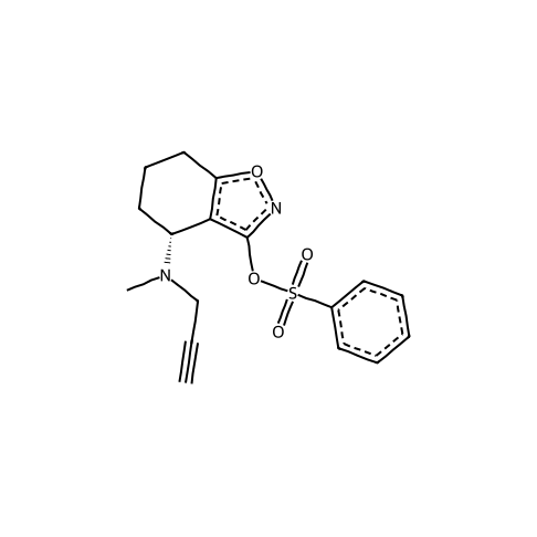 C#CCN(C)[C@@H]1CCCc2onc(OS(=O)(=O)c3ccccc3)c21